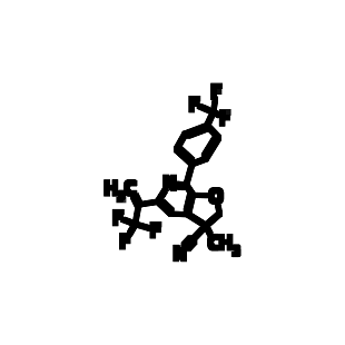 C=C(c1cc2c(c(-c3ccc(C(F)(F)F)cc3)n1)OCC2(C)C#N)C(F)(F)F